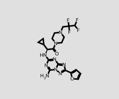 Nc1nc(N[C@H](C(=O)N2CCN(CC(F)(F)C(F)F)CC2)C2CC2)nc2nc(-c3ccco3)nn12